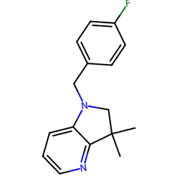 CC1(C)CN(Cc2ccc(F)cc2)c2cccnc21